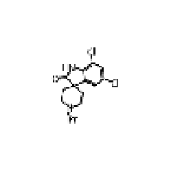 CC(C)N1CCC2(CC1)C(=O)Nc1c(Cl)cc(Cl)cc12